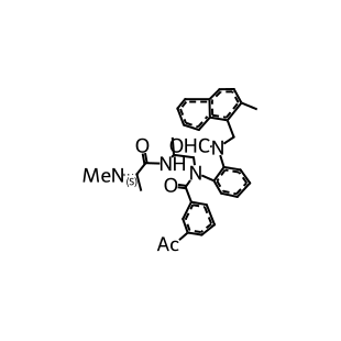 CN[C@@H](C)C(=O)NC(C)CN(C(=O)c1cccc(C(C)=O)c1)c1ccccc1N(C=O)Cc1c(C)ccc2ccccc12